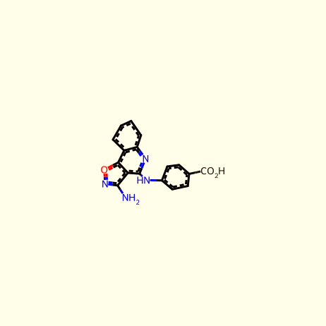 Nc1noc2c1c(Nc1ccc(C(=O)O)cc1)nc1ccccc12